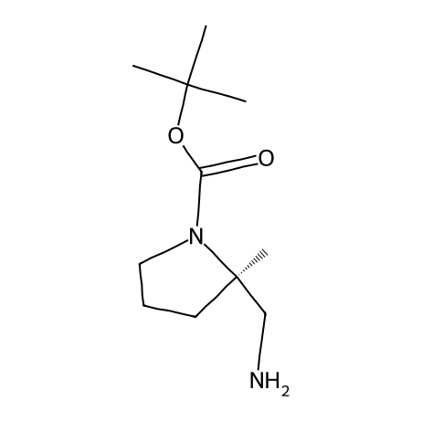 CC(C)(C)OC(=O)N1CCC[C@]1(C)CN